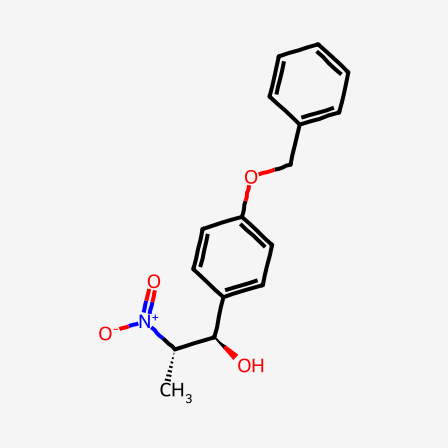 C[C@@H]([C@H](O)c1ccc(OCc2ccccc2)cc1)[N+](=O)[O-]